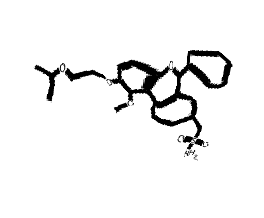 C=C(C)OCCOc1ccc2c(c1OC)-c1ccc(CS(N)(=O)=O)cc1C(c1ccccc1)O2